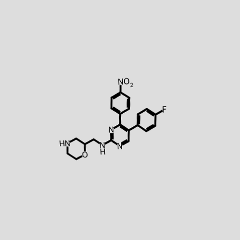 O=[N+]([O-])c1ccc(-c2nc(NCC3CNCCO3)ncc2-c2ccc(F)cc2)cc1